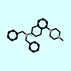 CN1CCN(c2cccc3c2CC[C@@H](N(Cc2ccccc2)Cc2ccccc2)C3)CC1